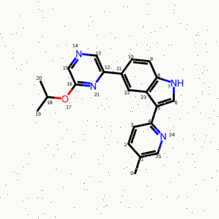 Cc1ccc(-c2c[nH]c3ccc(-c4cncc(OC(C)C)n4)cc23)nc1